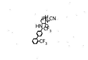 CC(C)C[C@H](N[C@@H](c1ccc(-c2ccccc2C(F)(F)F)cc1)C(F)(F)F)C(=O)NCC#N